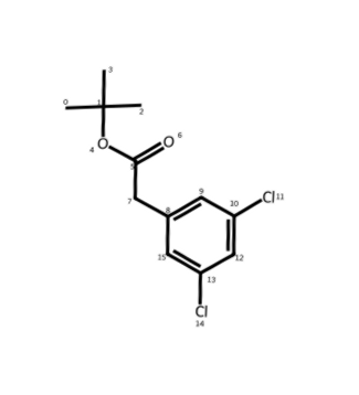 CC(C)(C)OC(=O)Cc1cc(Cl)cc(Cl)c1